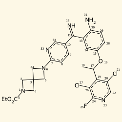 CCOC(=O)N1CC2(C1)CN(c1ccc(C(=N)c3cc(OC(C)c4c(Cl)cnc(F)c4Cl)ccc3N)cn1)C2